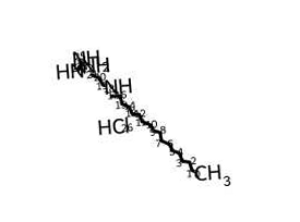 CCCCCCCCCCCCCCCCCCNCCCNC(=N)N.Cl